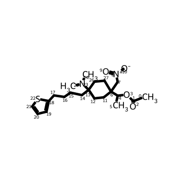 CC(=O)OC(C)C1(C[N+](=O)[O-])CCC(CCCCc2cccs2)(N(C)C)CC1